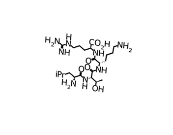 CC(C)C[C@H](N)C(=O)N[C@H](C(=O)N[C@@H](CCCCN)C(=O)N[C@@H](CCCNC(=N)N)C(=O)O)[C@@H](C)O